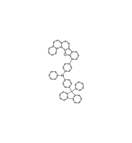 c1ccc(N(c2ccc(-c3cccc4c3oc3c4ccc4ccc5ccccc5c43)cc2)c2ccc(C3(c4ccccc4)c4ccccc4-c4ccccc43)cc2)cc1